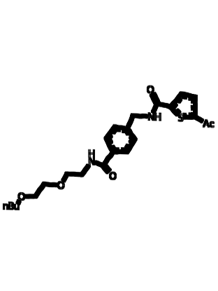 CCCCOCCOCCNC(=O)c1ccc(CNC(=O)c2ccc(C(C)=O)s2)cc1